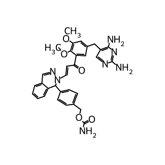 COc1cc(Cc2cnc(N)nc2N)cc(C(=O)/C=C/N2N=Cc3ccccc3C2c2ccc(COC(N)=O)cc2)c1OC